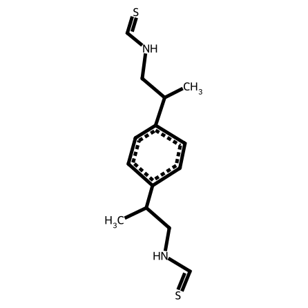 CC(CNC=S)c1ccc(C(C)CNC=S)cc1